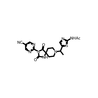 CC(=O)Nc1ncc(C(C)N2CCC3(CC2)NC(=O)N(c2ncc(C#N)cn2)C3=O)s1